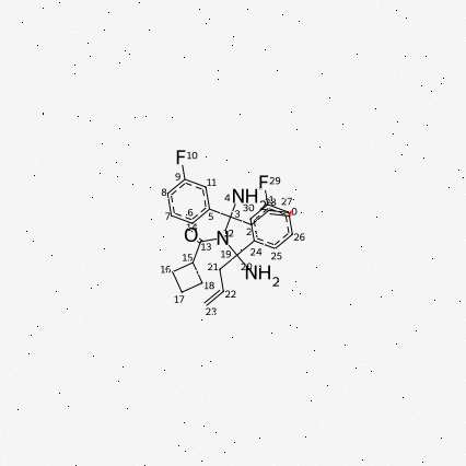 C=CCC(N)(c1cccc(F)c1)N(C(=O)C1CCC1)C(N)(CC=C)c1cccc(F)c1